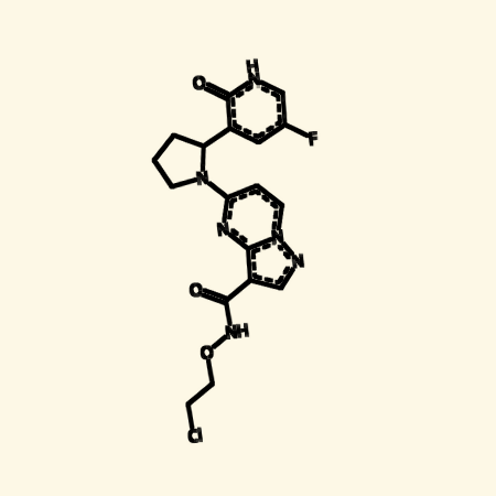 O=C(NOCCCl)c1cnn2ccc(N3CCCC3c3cc(F)c[nH]c3=O)nc12